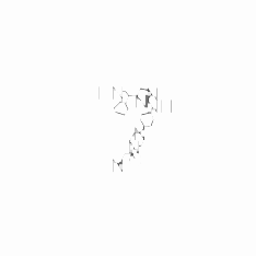 N#CCC(=O)N1CCN(c2ccc(Nc3nccc(-c4c[nH]c5ccccc45)n3)cc2)CC1